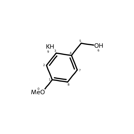 COc1ccc(CO)cc1.[KH]